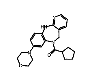 O=C(C1CCCC1)N1Cc2cccnc2Nc2ccc(N3CCOCC3)cc21